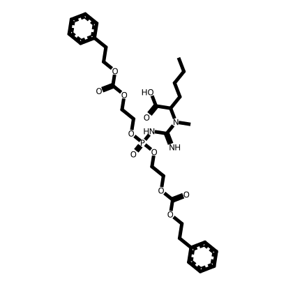 CCCCC(C(=O)O)N(C)C(=N)NP(=O)(OCCOC(=O)OCCc1ccccc1)OCCOC(=O)OCCc1ccccc1